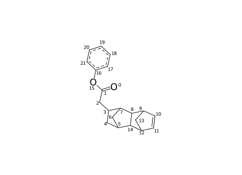 O=C(CC1CC2CC1C1C3C=CC(C3)C21)Oc1ccccc1